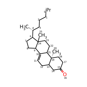 CC(C)CCC[C@@H](C)C1CCC2C3=CCC4CC(=O)CC[C@]4(C)C3CCC21C